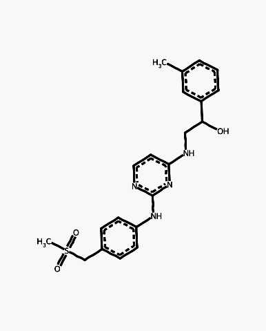 Cc1cccc(C(O)CNc2ccnc(Nc3ccc(CS(C)(=O)=O)cc3)n2)c1